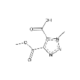 COC(=O)c1nnn(C)c1C(=O)O